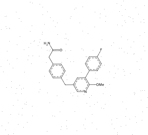 COc1ncc(Cc2ccc(CC(N)=O)cc2)cc1-c1ccc(F)cc1